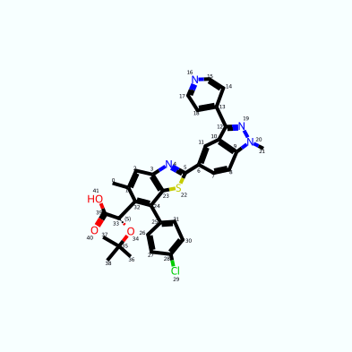 Cc1cc2nc(-c3ccc4c(c3)c(-c3ccncc3)nn4C)sc2c(-c2ccc(Cl)cc2)c1[C@H](OC(C)(C)C)C(=O)O